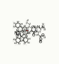 CCCCc1nc(N=CN(C)C)n(CCC(=C=O)OC)c(=O)c1Cc1ccc(-c2ccccc2)c(-c2nnnn2C(c2ccccc2)(c2ccccc2)c2ccccc2)c1